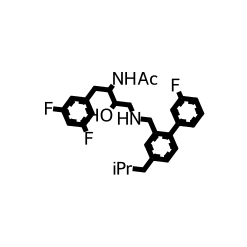 CC(=O)NC(Cc1cc(F)cc(F)c1)C(O)CNCc1cc(CC(C)C)ccc1-c1cccc(F)c1